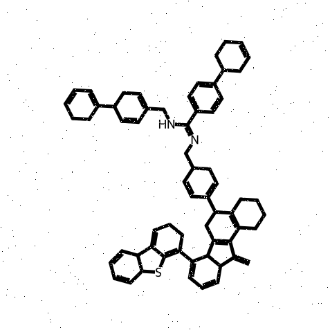 C=C1C2=C(CC(C3=CCC(C/N=C(\NCC4=CCC(C5=CC=CCC5)C=C4)c4ccc(C5CC=CCC5)cc4)C=C3)C3=C2CCCC3)C2C(C3=C4SC5C=CC=CC5C4=CCC3)=CC=CC12